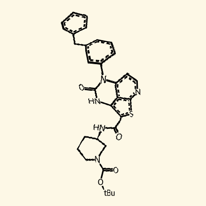 CC(C)(C)OC(=O)N1CCC[C@@H](NC(=O)c2sc3nccc4c3c2NC(=O)N4c2cccc(Cc3ccccc3)c2)C1